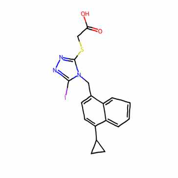 O=C(O)CSc1nnc(I)n1Cc1ccc(C2CC2)c2ccccc12